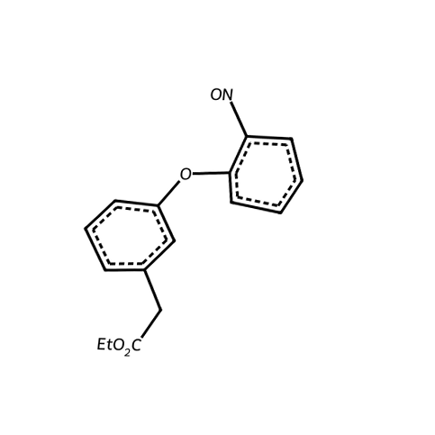 CCOC(=O)Cc1cccc(Oc2ccccc2N=O)c1